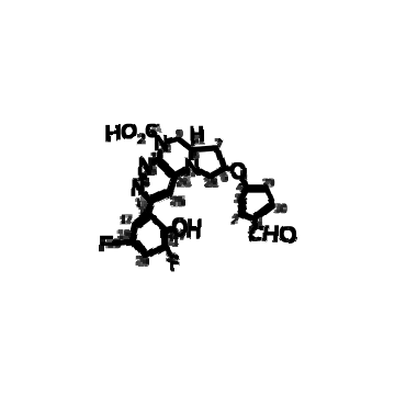 O=Cc1ccc(O[C@@H]2C[C@@H]3CN(C(=O)O)c4nnc(-c5cc(F)cc(F)c5O)cc4N3C2)cc1